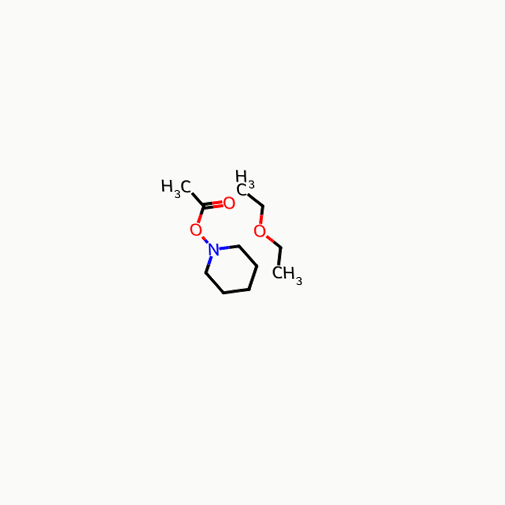 CC(=O)ON1CCCCC1.CCOCC